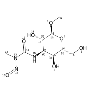 CO[C@H]1O[C@H](CO)[C@@H](O)[C@@H](NC(=O)N(C)N=O)[C@@H]1O